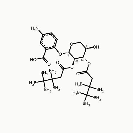 BC(B)(B)C(B)(B)CC(=O)O[C@@H]1[C@@H](OC(=O)CC(B)(B)C(B)(B)B)[C@H](Oc2ccc(N)cc2C(=O)O)OC[C@H]1O